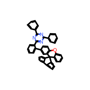 c1ccc(-c2nc(-c3ccccc3)nc(-c3ccccc3-c3ccc4c(c3)C3(c5ccccc5O4)c4ccccc4-c4ccccc43)n2)cc1